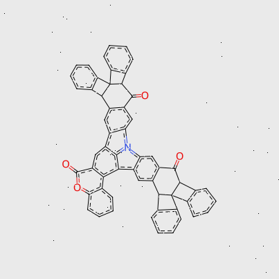 O=C1c2cc3c(cc2C2c4ccccc4C24c2ccccc2C14)c1cc2c(=O)oc4ccccc4c2c2c4cc5c(cc4n3c12)C(=O)C1c2ccccc2C12c1ccccc1C52